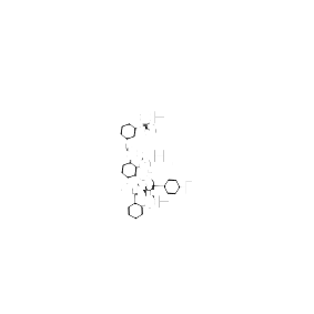 COc1c(OCc2cccc(C(=O)O)c2)cccc1C1SC(c2ccc(F)cc2)=NN1C(=O)c1ccccc1O